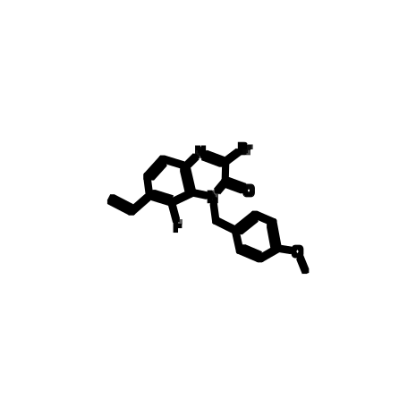 C=Cc1ccc2nc(Br)c(=O)n(Cc3ccc(OC)cc3)c2c1F